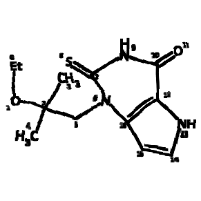 CCOC(C)(C)Cn1c(=S)[nH]c(=O)c2[nH]ccc21